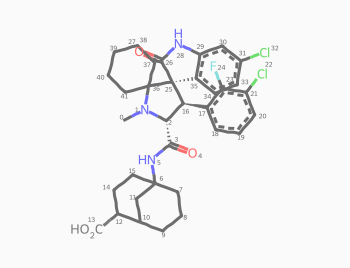 CN1[C@@H](C(=O)NC23CCCC(C2)C(C(=O)O)CC3)[C@H](c2cccc(Cl)c2F)[C@]2(C(=O)Nc3cc(Cl)ccc32)C12CCCCC2